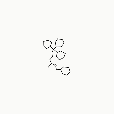 CC(CCCC(C1CCCCC1)(C1CCCCC1)C1CCCCC1)OCC1CCCCC1